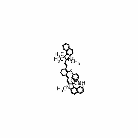 CN1/C(=C/C=C2\CCCC(/C=C/C3=[N+](C)c4ccc5ccccc5c4C3(C)C)=C2Sc2ccc(O)cc2)C(C)(C)c2c1ccc1ccccc21